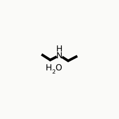 CCNCC.O